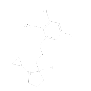 COc1c(Cl)cc(Cl)cc1OCCC1(C)CCCN1C1CC1